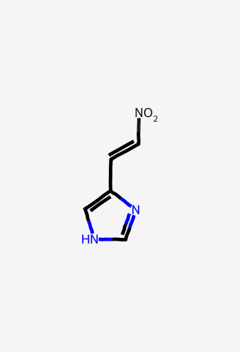 O=[N+]([O-])/C=C/c1c[nH]cn1